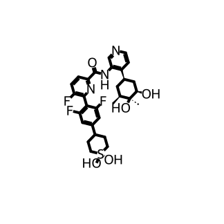 C[C@H]1C[C@@H](c2ccncc2NC(=O)c2ccc(F)c(-c3c(F)cc(C4CCS(O)(O)CC4)cc3F)n2)C[C@@H](O)[C@@]1(C)O